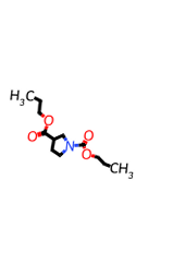 CCCOC(=O)C1CCN(C(=O)OCCC)C1